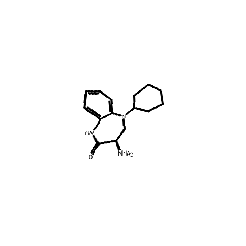 CC(=O)NC1CN(C2CCCCC2)c2ccccc2NC1=O